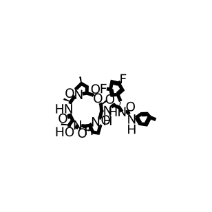 Cc1ccc(NC(=O)N[C@@H](Cc2cc(F)cc(F)c2)C(=O)N[C@@H]2C(=O)N3CCC[C@H]3C(=O)N(C)[C@@H]([C@H](C)O)C(=O)N[C@@H](C)C(=O)N3C[C@@H](C)CC3C(=O)O[C@H]2C)cc1